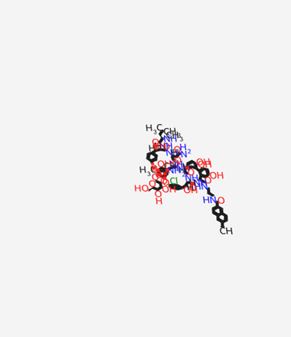 C#Cc1ccc2cc(C(=O)NCCCNC(=O)C3NC(=O)[C@H]4NC(=O)[C@H](NC(=O)C5NC(=O)[C@H](CC(N)=O)NC(=O)[C@H](NC(=O)[C@@H](CC(C)C)NC)[C@H](O)c6ccc(cc6)Oc6cc5cc(c6O[C@@H]5O[C@H](CO)[C@@H](O)[C@H](O)[C@H]5OC5C[C@](C)(N)[C@H](O)[C@H](C)O5)Oc5ccc(cc5Cl)[C@H]4O)c4ccc(O)c(c4)-c4c(O)cc(O)cc43)ccc2c1